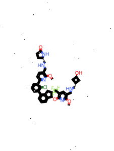 COc1nc(-c2cccc(-c3cccc4c3CC[C@@H]4Oc3nc(OC)c(CNC[C@H]4C[C@H](O)C4)cc3C(F)(F)F)c2Cl)ccc1CNC[C@@H]1CCC(=O)N1